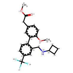 COC(=O)Cc1ccc(OC)c(-c2ccc(C(F)(F)F)cc2CNC2CCC2)c1